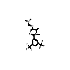 CC(C(=O)N=CN(C)C)N(C)C(=O)c1cc(C(F)(F)F)cc(C(F)(F)F)c1